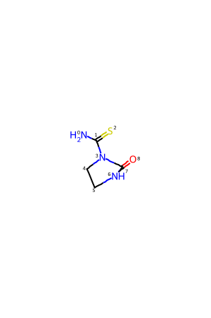 NC(=S)N1CCNC1=O